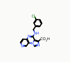 O=C(O)c1ncn2c1c(NCc1cccc(Cl)c1)nc1ccncc12